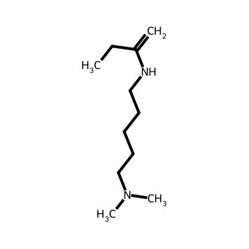 C=C(CC)NCCCCCN(C)C